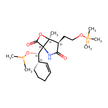 CP(C)O[C@@H]([C@@H]1C=CCCC1)[C@@]12NC(=O)[C@H](CCO[PH](C)(C)C)[C@]1(C)OC2=O